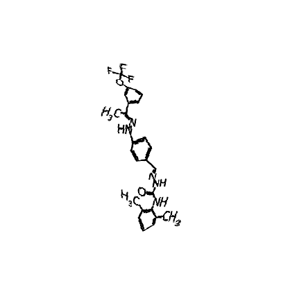 C/C(=N\Nc1ccc(/C=N/NC(=O)Nc2c(C)cccc2C)cc1)c1cccc(OC(F)(F)F)c1